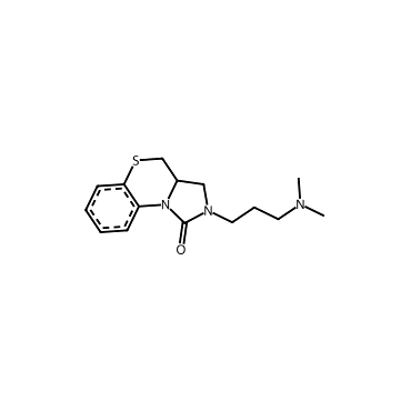 CN(C)CCCN1CC2CSc3ccccc3N2C1=O